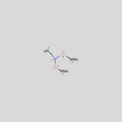 CCCN(BNC)BNC